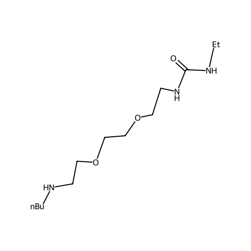 CCCCNCCOCCOCCNC(=O)NCC